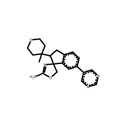 CC1(C2Cc3ccc(-c4cncnc4)cc3C23COC(N)=N3)CCOCC1